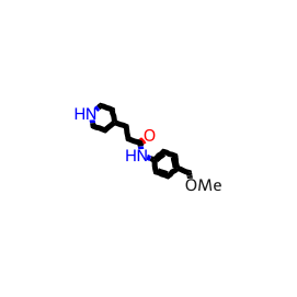 COCc1ccc(NC(=O)CCC2CCNCC2)cc1